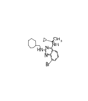 C[C@@H](Nc1nc(NCC2CCCCCC2)nc2c(Br)cccc12)C1CC1